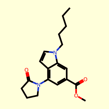 CCCCCn1ccc2c(N3CCCC3=O)cc(C(=O)OC)cc21